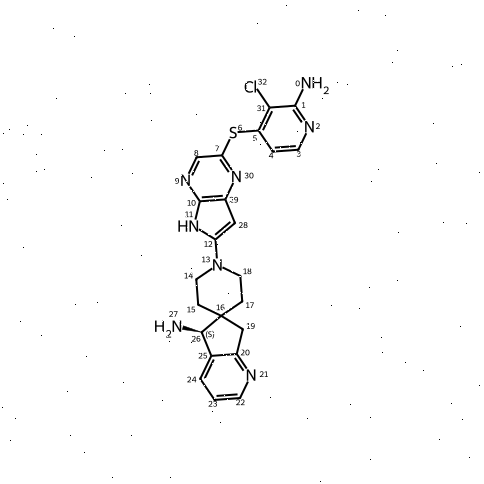 Nc1nccc(Sc2cnc3[nH]c(N4CCC5(CC4)Cc4ncccc4[C@H]5N)cc3n2)c1Cl